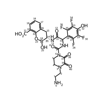 NCCN1CCN(C(=O)NC(C(=O)N[C@H]2Cc3cccc(C(=O)O)c3OB2O)c2c(F)c(F)c(O)c(F)c2F)C(=O)C1=O